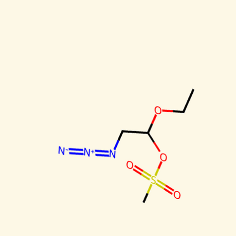 CCOC(CN=[N+]=[N-])OS(C)(=O)=O